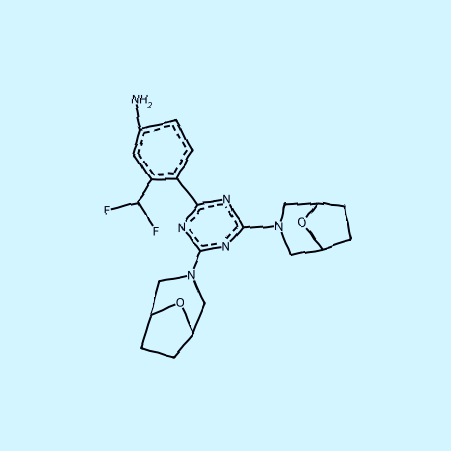 Nc1ccc(-c2nc(N3CC4CCC(C3)O4)nc(N3CC4CCC(C3)O4)n2)c(C(F)F)c1